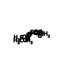 CC(C)(C)OC(=O)N1CCC(Oc2ccc(S(N)(=O)=O)cc2)CC1